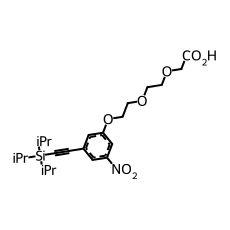 CC(C)[Si](C#Cc1cc(OCCOCCOCC(=O)O)cc([N+](=O)[O-])c1)(C(C)C)C(C)C